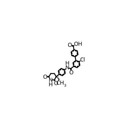 CC[C@]1(c2ccc(NC(=O)c3ccc(Cl)c(-c4ccc(C(=O)O)cc4)c3)cc2)CCC(=O)NC1=O